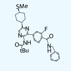 CS[C@H]1CC[C@@H](c2cnc(NC(=O)C(C)(C)C)c(-c3ccc(C(=O)NCc4ccccc4)c(F)c3)n2)CC1